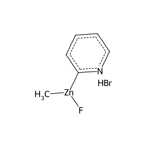 Br.[CH3][Zn]([F])[c]1ccccn1